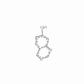 Oc1ccc2cncnc2c1